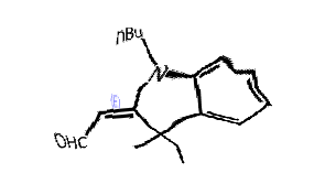 CCCCN1/C(=C/C=O)C(C)(C)c2ccccc21